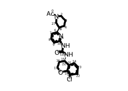 CC(=O)N1CCC[C@@H](c2cccc(NC(=O)N[C@H]3CCOc4c(Cl)cccc43)n2)C1